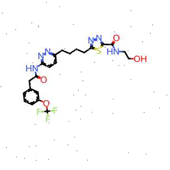 O=C(Cc1cccc(OC(F)(F)F)c1)Nc1ccc(CCCCc2nnc(C(=O)NCCO)s2)nn1